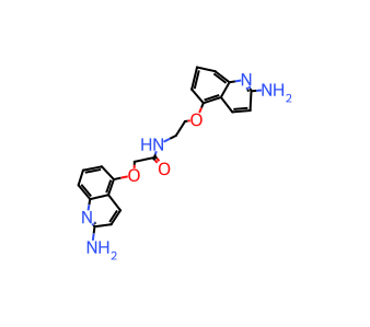 Nc1ccc2c(OCCNC(=O)COc3cccc4nc(N)ccc34)cccc2n1